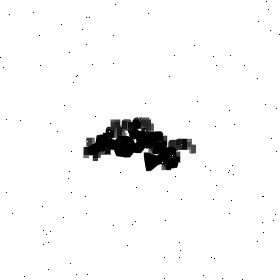 COc1ncnc(C2CC2)c1-c1ncc2[nH]c(CN(C)C)c(Cc3ccc(-c4nc(C(F)(F)F)cn4C)cc3)c2n1